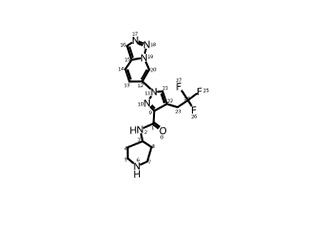 O=C(NC1CCNCC1)c1nn(-c2ccc3cnnn3c2)cc1CC(F)(F)F